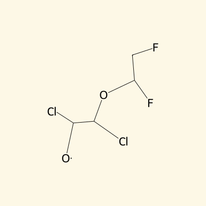 [O]C(Cl)C(Cl)OC(F)CF